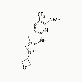 CNc1nc(Nc2cn(C3COC3)nc2C)ncc1C(F)(F)F